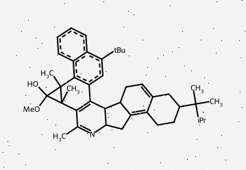 COC1(O)C2(C)C3=C(c4cc(C(C)(C)C)c5ccccc5c4C12C)C1C(CC2=C4CCC(C(C)(C)C(C)C)CC4=CCC21)N=C3C